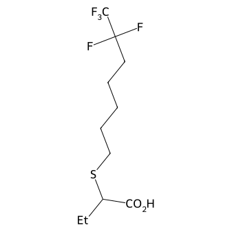 CCC(SCCCCCC(F)(F)C(F)(F)F)C(=O)O